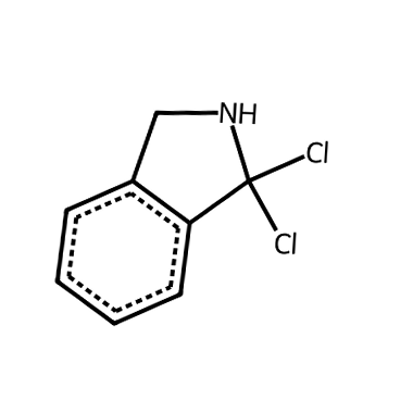 ClC1(Cl)NCc2ccccc21